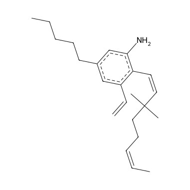 C=Cc1cc(CCCCC)cc(N)c1/C=C\C(C)(C)CC/C=C\C